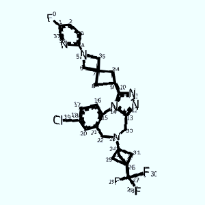 Fc1ccc(N2CC3(CC(c4nnc5n4-c4ccc(Cl)cc4CN(C46CC(C(F)(F)F)(C4)C6)C5)C3)C2)nc1